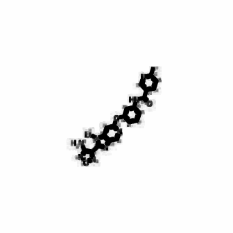 CCn1c(-c2nonc2N)nc2cnc(Oc3cccc(NC(=O)c4ccc(C)nc4)c3)cc21